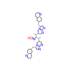 CC(C(=NO)C(C)c1cnc2ncc(Cc3ccc4ncccc4c3)n2c1)c1cnc2ncc(Cc3ccc4ncccc4c3)n2c1